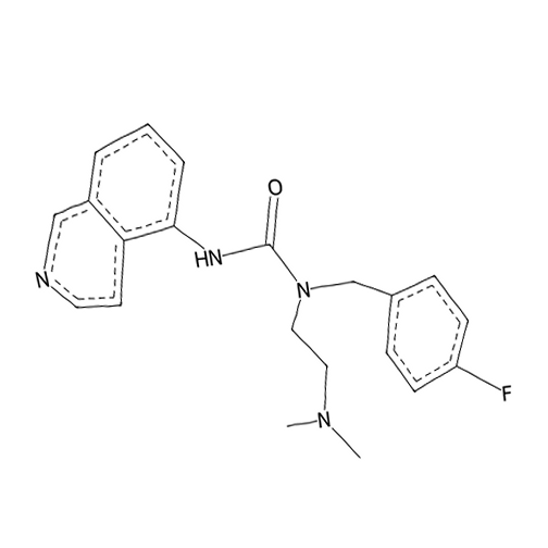 CN(C)CCN(Cc1ccc(F)cc1)C(=O)Nc1cccc2cnccc12